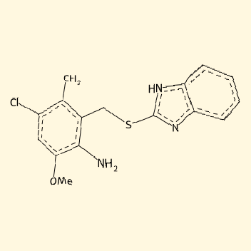 COc1cc(Cl)c(C)c(CSc2nc3ccccc3[nH]2)c1N